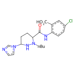 CCCCN1NC(n2ccnc2)CCC1C(=O)Nc1ccc(Cl)cc1C(=O)O